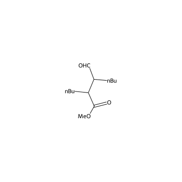 CCCCC(C=O)C(CCCC)C(=O)OC